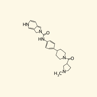 CN1CCC(C(=O)N2CCC(c3ccc(NC(=O)N4C=C5C=CNC=C5C4)cc3)CC2)C1